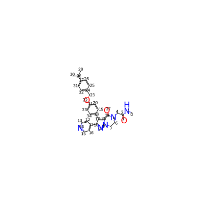 CNC(=O)CN1CCn2nc(-c3ccncc3)c(-c3ccc(OCc4ccc(C(C)C)cc4)cc3)c2C1=O